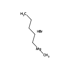 Br.CCCC[CH2][Mg][CH3]